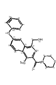 CC(=O)Oc1c(C(=O)N2CCOCC2)nc(CO)c2cc(Oc3ccccc3)ccc12